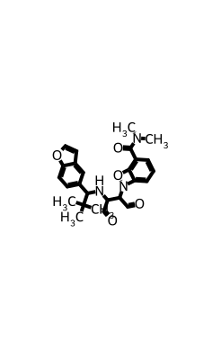 CN(C)C(=O)c1cccc2c1on2C(C=O)C(C=O)NC(c1ccc2occc2c1)C(C)(C)C